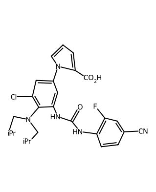 CC(C)CN(CC(C)C)c1c(Cl)cc(-n2cccc2C(=O)O)cc1NC(=O)Nc1ccc(C#N)cc1F